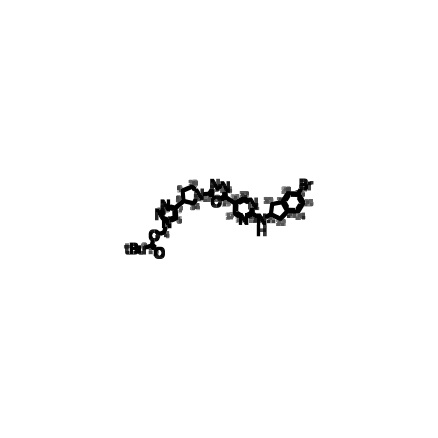 CC(C)(C)C(=O)OCn1cc(C2CCN(c3nnc(-c4cnc(NC5Cc6ccc(Br)cc6C5)nc4)o3)C2)nn1